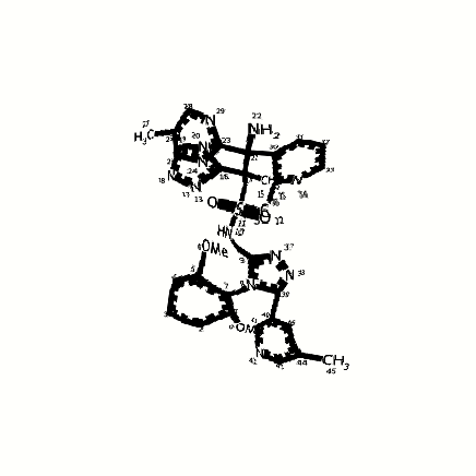 COc1cccc(OC)c1-n1c(NS(=O)(=O)C(C)(c2nnc[nH]2)C(N)(c2ncc(C)cn2)c2cccnc2C)nnc1-c1cncc(C)c1